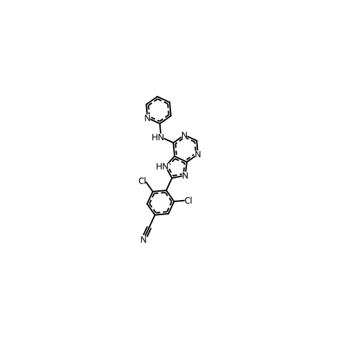 N#Cc1cc(Cl)c(-c2nc3ncnc(Nc4ccccn4)c3[nH]2)c(Cl)c1